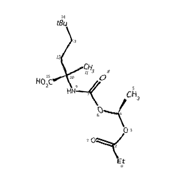 CCC(=O)O[C@H](C)OC(=O)N[C@@](C)(CCC(C)(C)C)C(=O)O